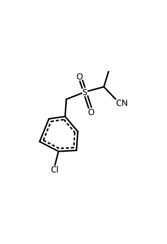 CC(C#N)S(=O)(=O)Cc1ccc(Cl)cc1